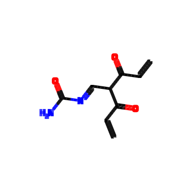 C=CC(=O)C(C=NC(N)=O)C(=O)C=C